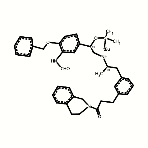 C[C@H](Cc1cccc(CCC(=O)N2CCc3ccccc3C2)c1)NC[C@H](O[Si](C)(C)C(C)(C)C)c1ccc(OCc2ccccc2)c(NC=O)c1